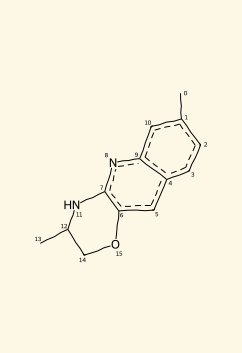 Cc1ccc2cc3c(nc2c1)NC(C)CO3